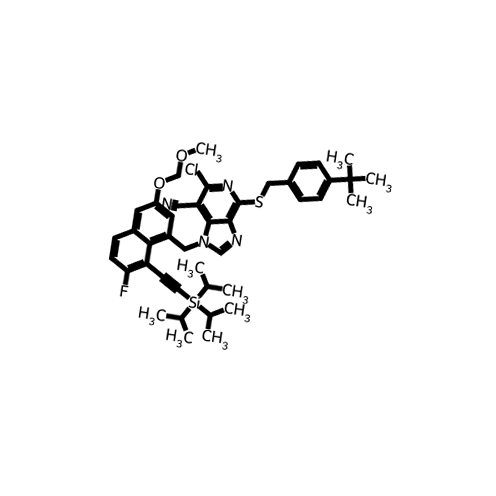 COCOc1cc(Cn2cnc3c(SCc4ccc(C(C)(C)C)cc4)nc(Cl)c(C#N)c32)c2c(C#C[Si](C(C)C)(C(C)C)C(C)C)c(F)ccc2c1